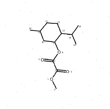 COC(=O)C(=O)OC1CC(C)CCC1C(C)C